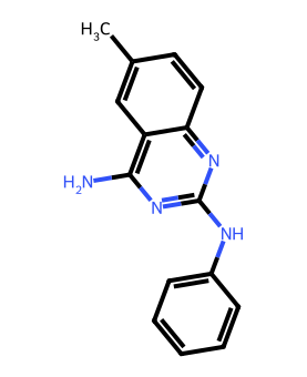 Cc1ccc2nc(Nc3ccccc3)nc(N)c2c1